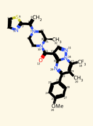 C=C(c1nccs1)N1CCN(C(=O)c2cnn3c(C(F)(F)F)c(C)c(-c4ccc(OC)cc4)nc23)[C@H](C)C1